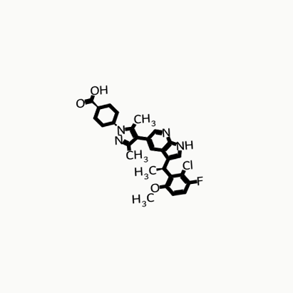 COc1ccc(F)c(Cl)c1[C@@H](C)c1c[nH]c2ncc(-c3c(C)nn([C@H]4CC[C@H](C(=O)O)CC4)c3C)cc12